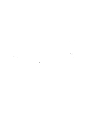 CC1C2Cc3ccc(-c4ccc(=O)n(C)c4)cc3[C@]1(C)CCN2